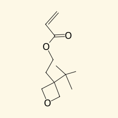 C=CC(=O)OCCC1(C(C)(C)C)COC1